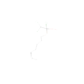 CCCCCCCCCCCCSC(O)(Cl)C(Cl)Cl